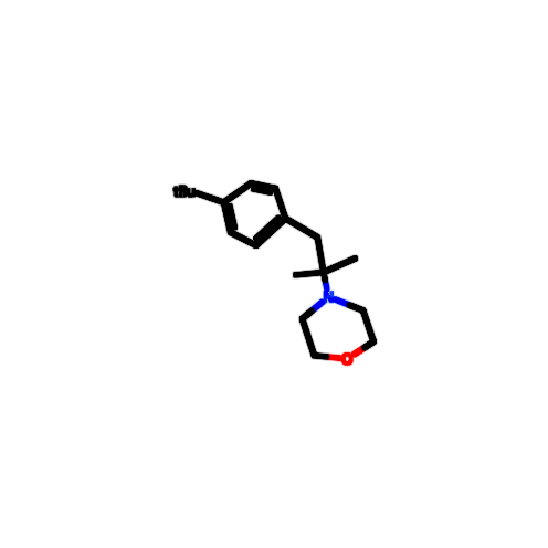 CC(C)(C)c1ccc(CC(C)(C)N2CCOCC2)cc1